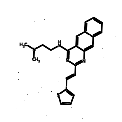 CN(C)CCNc1nc(C=Cc2cccs2)nc2cc3ccccc3cc12